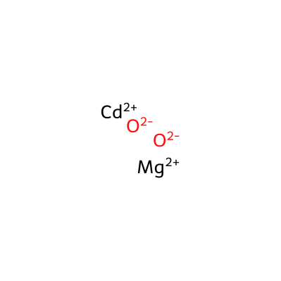 [Cd+2].[Mg+2].[O-2].[O-2]